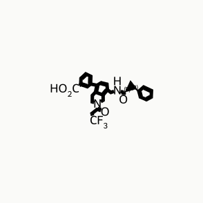 O=C(O)c1cccc(-c2ccc(CNC(=O)[C@@H]3C[C@H]3c3ccccc3)c3c2CCN(C(=O)CC(F)(F)F)C3)c1